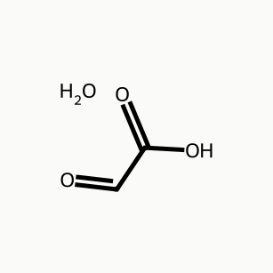 O.O=CC(=O)O